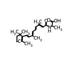 CC(C=CC1=C(C)CCCC1(C)C)=CC=CC(C)=CC(=O)NC(C)C(=O)O